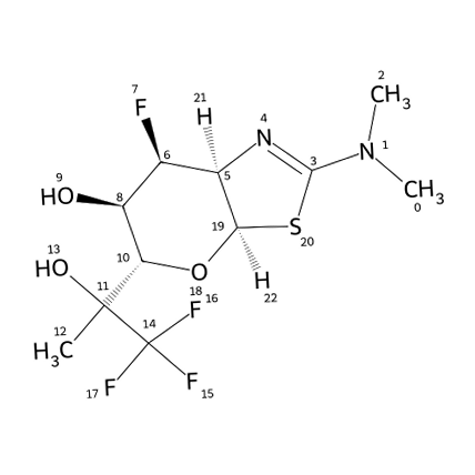 CN(C)C1=N[C@@H]2[C@H](F)[C@H](O)[C@@H](C(C)(O)C(F)(F)F)O[C@@H]2S1